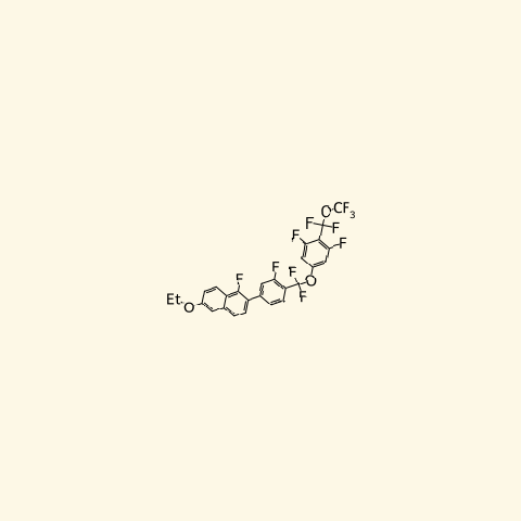 CCOc1ccc2c(F)c(-c3ccc(C(F)(F)Oc4cc(F)c(C(F)(F)OC(F)(F)F)c(F)c4)c(F)c3)ccc2c1